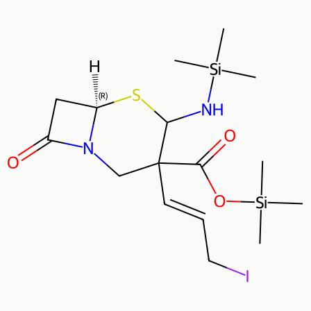 C[Si](C)(C)NC1S[C@@H]2CC(=O)N2CC1(C=CCI)C(=O)O[Si](C)(C)C